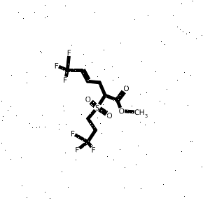 COC(=O)C(CC=CC(F)(F)F)S(=O)(=O)CCC(F)(F)F